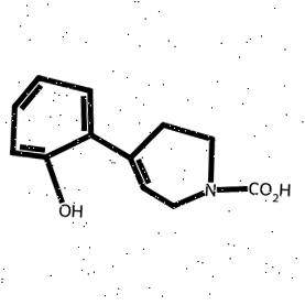 O=C(O)N1CC=C(c2ccccc2O)CC1